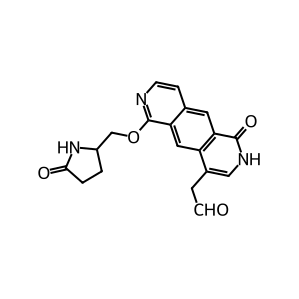 O=CCc1c[nH]c(=O)c2cc3ccnc(OCC4CCC(=O)N4)c3cc12